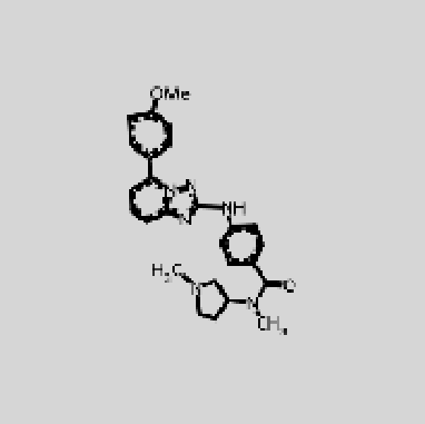 COc1ccc(-c2cccc3nc(Nc4ccc(C(=O)N(C)C5CCN(C)C5)cc4)nn23)cc1